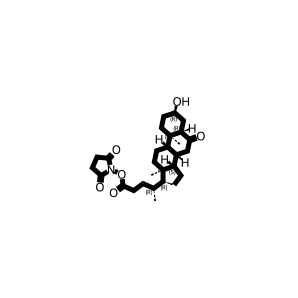 C[C@H](CCC(=O)ON1C(=O)CCC1=O)[C@H]1CC[C@H]2[C@@H]3CC(=O)[C@@H]4C[C@H](O)CC[C@]4(C)[C@H]3CC[C@]12C